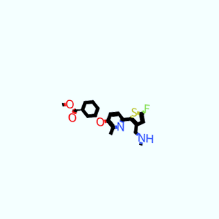 CNCc1cc(F)sc1-c1ccc(O[C@H]2CCC[C@H](C(=O)OC)C2)c(C)n1